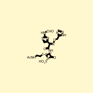 CC(=O)NCCS[C@@H]1[C@H](NC(=O)/C(=N/OCc2nnn[nH]2)c2csc(NC=O)n2)C(=O)N1S(=O)(=O)O